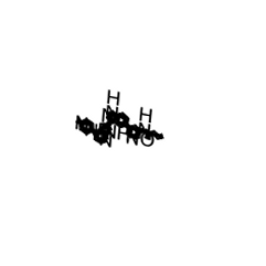 CCCC(=O)Nc1cncc(-c2ccc3[nH]nc(-c4cc5c(N6CCN(C)CC6)ccnc5[nH]4)c3c2)c1